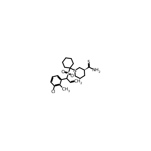 C=CC(c1cccc(Cl)c1C)S(=O)(=O)C1(N2CCC[C@H](C(N)=S)C2)CCCCC1